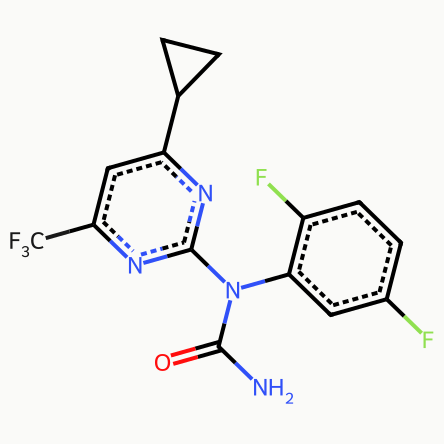 NC(=O)N(c1nc(C2CC2)cc(C(F)(F)F)n1)c1cc(F)ccc1F